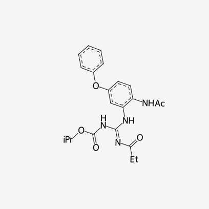 CCC(=O)N=C(NC(=O)OC(C)C)Nc1cc(Oc2ccccc2)ccc1NC(C)=O